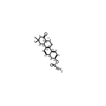 CC1(C)CC(=O)[C@@]2(C)CCC3=C(C=CC4CC(OS(N)=O)=CC=C34)C2C1